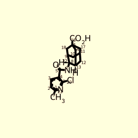 Cc1ccc(C(=O)N[C@@H]2C3CC4C[C@@H]2CC(C(=O)O)(C4)C3)c(Cl)n1